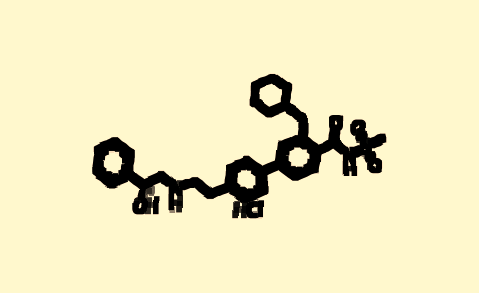 CS(=O)(=O)NC(=O)c1ccc(-c2ccc(CCNC[C@@H](O)c3ccccc3)cc2)cc1CC1CCCCC1.Cl